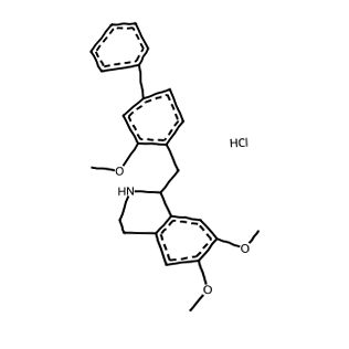 COc1cc(-c2ccccc2)ccc1CC1NCCc2cc(OC)c(OC)cc21.Cl